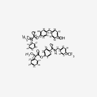 CN(C(=O)Oc1ccc(C(=O)NCc2ccc(C(F)(F)F)cc2)cc1)c1ccccc1.CN(C(=O)Oc1ccc(Cc2ccc(O)cc2)cc1)c1ccccc1